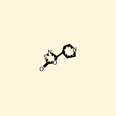 O=c1oc(-c2ccncc2)ns1